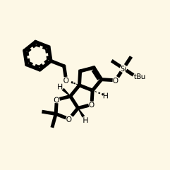 CC1(C)O[C@H]2O[C@@H]3C(O[Si](C)(C)C(C)(C)C)=CC[C@]3(OCc3ccccc3)[C@H]2O1